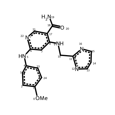 COc1ccc(Nc2cc(NCc3ncccn3)c(C(N)=O)cn2)cc1